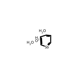 C1=C[CH]=[Sb][CH]=C1.O.O.O